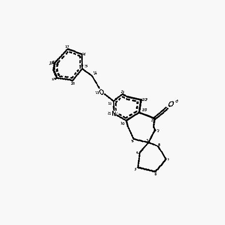 O=C1CC2(CCCCC2)Cc2nc(OCc3ccccc3)ccc21